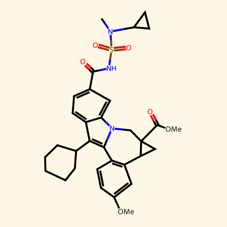 COC(=O)C12CC1c1cc(OC)ccc1-c1c(C3CCCCC3)c3ccc(C(=O)NS(=O)(=O)N(C)C4CC4)cc3n1C2